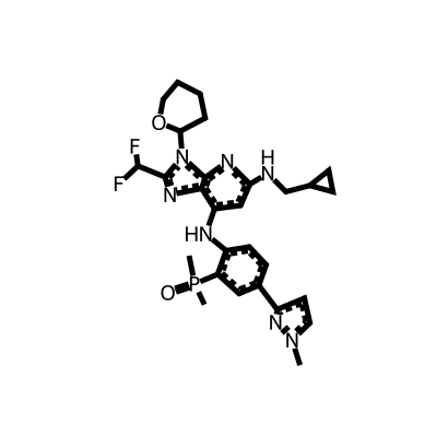 Cn1ccc(-c2ccc(Nc3cc(NCC4CC4)nc4c3nc(C(F)F)n4C3CCCCO3)c(P(C)(C)=O)c2)n1